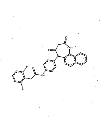 O=C(Cc1c(Cl)cccc1Cl)Nc1ccc(N2C(=O)CC(=O)Nc3c2ccc2ccccc32)cc1